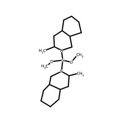 CO[Si](OC)(N1CC2CCCCC2CC1C)N1CC2CCCCC2CC1C